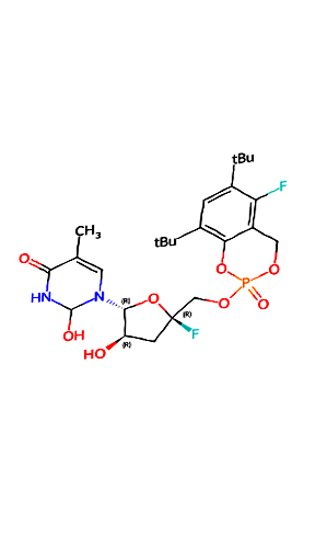 CC1=CN([C@@H]2O[C@](F)(COP3(=O)OCc4c(F)c(C(C)(C)C)cc(C(C)(C)C)c4O3)C[C@H]2O)C(O)NC1=O